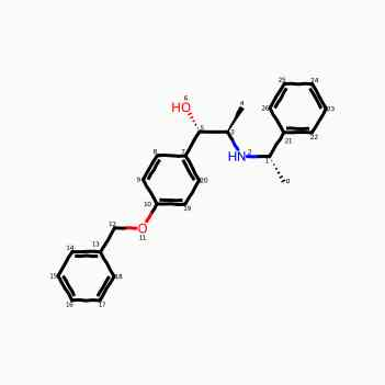 C[C@H](N[C@H](C)[C@@H](O)c1ccc(OCc2ccccc2)cc1)c1ccccc1